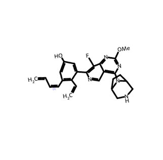 C=C/C=C\c1cc(O)cc(-c2ncc3c(N4C5CCC4CNC5)nc(OC)nc3c2F)c1C=C